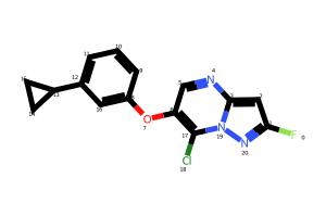 Fc1cc2ncc(Oc3cccc(C4CC4)c3)c(Cl)n2n1